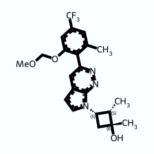 COCOc1cc(C(F)(F)F)cc(C)c1-c1cc2ccn([C@H]3C[C@@](C)(O)[C@H]3C)c2nn1